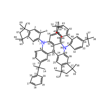 Cc1cc2c(cc1N1c3ccc(C(C)(C)c4ccccc4)cc3B3c4cc5c(cc4N(c4ccc(C(C)(C)C)cc4-c4ccccc4)c4cc(C(C)(C)C)cc1c43)C(C)(C)CC5(C)C)C(C)(C)CC2(C)C